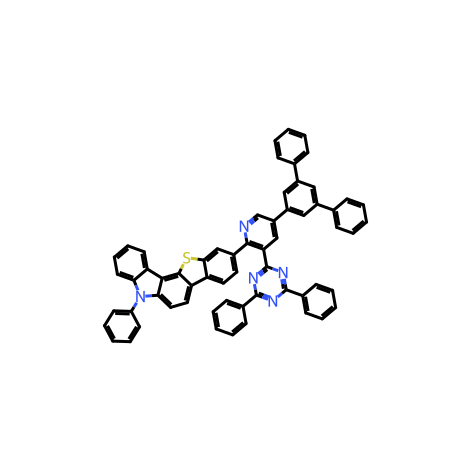 c1ccc(-c2cc(-c3ccccc3)cc(-c3cnc(-c4ccc5c(c4)sc4c5ccc5c4c4ccccc4n5-c4ccccc4)c(-c4nc(-c5ccccc5)nc(-c5ccccc5)n4)c3)c2)cc1